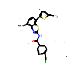 COc1ccc(-c2ccc(C)s2)c2sc(NC(=O)c3ccc(CCl)cc3)nc12